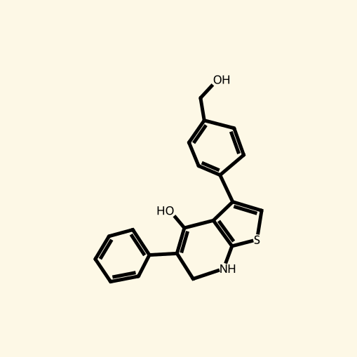 OCc1ccc(-c2csc3c2C(O)=C(c2ccccc2)CN3)cc1